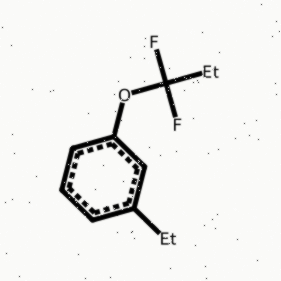 CCc1cccc(OC(F)(F)CC)c1